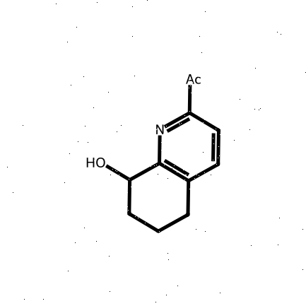 CC(=O)c1ccc2c(n1)C(O)CCC2